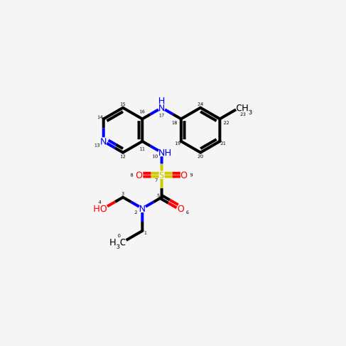 CCN(CO)C(=O)S(=O)(=O)Nc1cnccc1Nc1cccc(C)c1